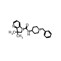 CC1(C)CN(C(=O)NC2CCN(Cc3ccccc3)CC2)c2cccnc21